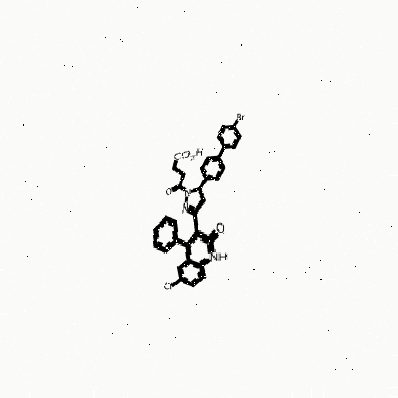 O=C(O)CCC(=O)N1N=C(c2c(-c3ccccc3)c3cc(Cl)ccc3[nH]c2=O)CC1c1ccc(-c2ccc(Br)cc2)cc1